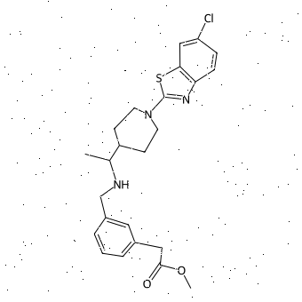 COC(=O)Cc1cccc(CNC(C)C2CCN(c3nc4ccc(Cl)cc4s3)CC2)c1